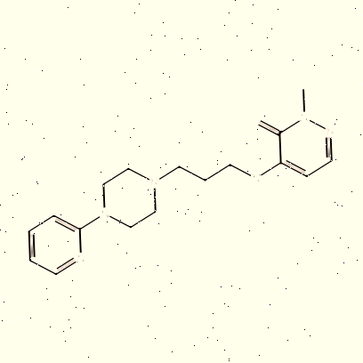 Cn1nccc(NCCCN2CCN(c3ccccn3)CC2)c1=O